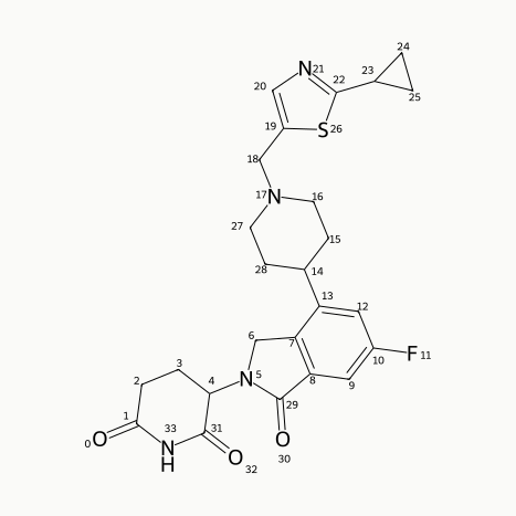 O=C1CCC(N2Cc3c(cc(F)cc3C3CCN(Cc4cnc(C5CC5)s4)CC3)C2=O)C(=O)N1